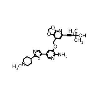 CN1CCC(c2ncc(-c3cnc(N)c(OCc4cc(C#CC(C)(C)O)nc5c4OCO5)c3)s2)CC1